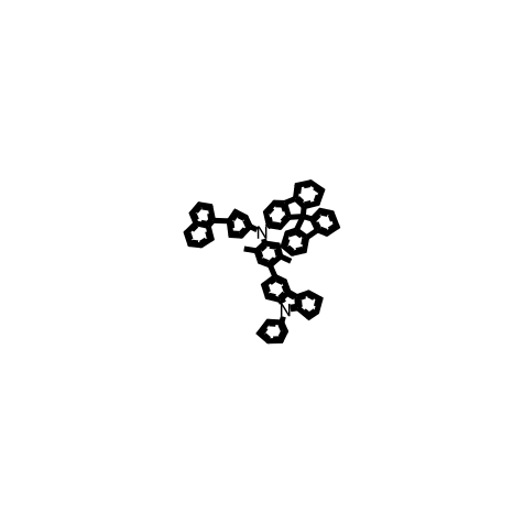 Cc1cc(N(c2ccc(-c3cccc4ccccc34)cc2)c2ccc3c(c2)C2(c4ccccc4-c4ccccc42)c2ccccc2-3)c(C)cc1-c1ccc2c(c1)c1ccccc1n2-c1ccccc1